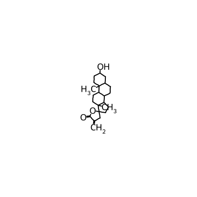 C=C1CC2(CCC3C4CCC5CC(O)CCC5(C)C4CCC32C)OC1=O